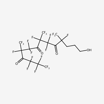 O=C(C(F)(F)C(F)(C(=O)C(F)(F)C(F)(C(=O)C(F)(F)C(F)(F)C(F)(F)F)C(F)(F)F)C(F)(F)F)C(F)(CCCO)C(F)(F)F